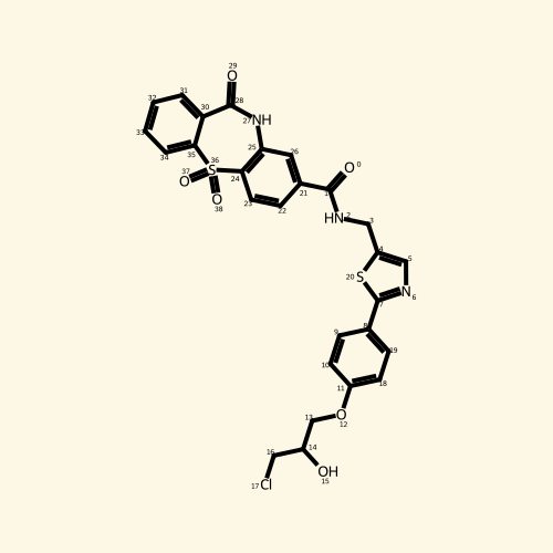 O=C(NCc1cnc(-c2ccc(OCC(O)CCl)cc2)s1)c1ccc2c(c1)NC(=O)c1ccccc1S2(=O)=O